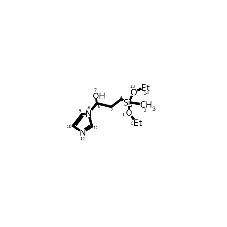 CCO[Si](C)(CCC(O)n1ccnc1)OCC